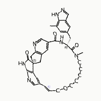 Cc1cc(C[C@H]2NC(=O)c3cnc4c(c3)C[C@@]3(C4)C(=O)Nc4ncc(cc43)/C=C/COCCCCCN(C)C2=O)cc2cn[nH]c12